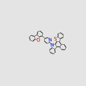 c1ccc2c(c1)oc1c(-c3ccc(-n4c5ccccc5c5c6ccccc6c6c7ccccc7sc6c54)nc3)cccc12